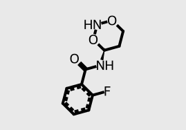 O=C(N[C@@H]1CCONO1)c1ccccc1F